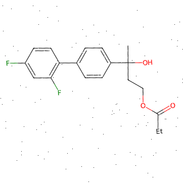 CCC(=O)OCCC(C)(O)c1ccc(-c2ccc(F)cc2F)cc1